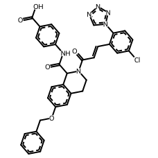 O=C(O)c1ccc(NC(=O)C2c3ccc(OCc4ccccc4)cc3CCN2C(=O)C=Cc2cc(Cl)ccc2-n2cnnn2)cc1